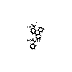 Cc1n[nH]c2ccc(-c3cc(NC(CO)c4ccccc4)cnc3-c3cncnc3)cc12